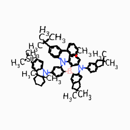 Cc1cc2c3c(c1)N(c1ccc(C(C)(C)C)cc1-c1ccccc1)c1cc(N4c5ccc([SiH](C)C)cc5C5(C)CCCCC45C)ccc1B3c1cc3c(cc1N2c1ccc2c(c1)CC(C)(C)C2)CC(C)(C)C3